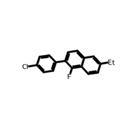 CCc1ccc2c(F)c(-c3ccc(Cl)cc3)ccc2c1